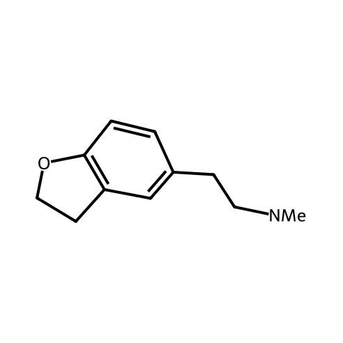 CNCCc1ccc2c(c1)CCO2